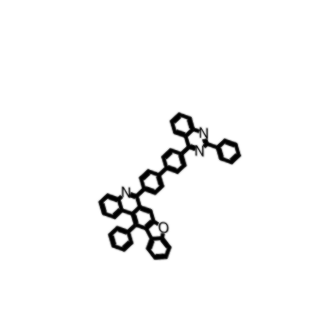 c1ccc(-c2nc(-c3ccc(-c4ccc(-c5nc6ccccc6c6c(-c7ccccc7)c7c(cc56)oc5ccccc57)cc4)cc3)c3ccccc3n2)cc1